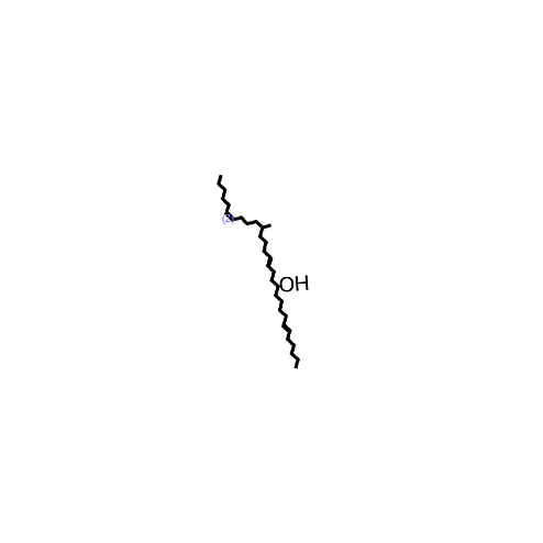 CCCCCC=CCCCCC(O)CCC=CCCCC(C)CCC/C=C\CCCCC